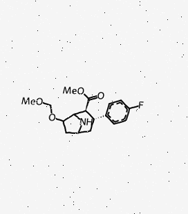 COCOC1CC2C[C@@H](c3ccc(F)cc3)[C@H](C(=O)OC)C1N2